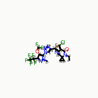 CCN(C(=O)c1cc(-c2cn(-c3c(OC(F)F)c(C(F)(F)C(F)(F)F)nn3C)nn2)sc1Cl)C1(C#N)CC1